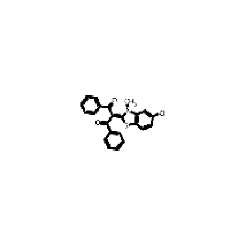 CN1C(=C(C(=O)c2ccccc2)C(=O)c2ccccc2)Sc2ccc(Cl)cc21